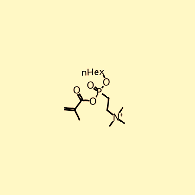 C=C(C)C(=O)OP(=O)(CC[N+](C)(C)C)OCCCCCC